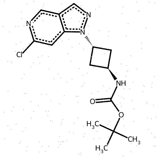 CC(C)(C)OC(=O)N[C@H]1C[C@H](n2ncc3cnc(Cl)cc32)C1